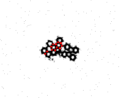 Cc1cccc(N(C2=CCCC=C2c2ccccc2)c2cc(C)cc(N(c3ccc4c(c3)C3(c5ccccc5-4)c4ccccc4-c4ccc(-n5c6ccccc6c6ccccc65)cc43)c3ccccc3-c3ccccc3)c2Br)c1